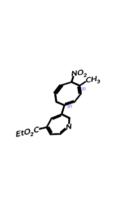 CCOC(=O)C1=CC=NCC(/C2=C/C=C(/C)C([N+](=O)[O-])C#CC2)=C1